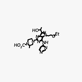 CCOCCn1nc(C(C)O)c2nc(N3CCN(C(=O)O)C(C)C3)nc(Nc3ccncn3)c21